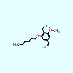 [CH]=Cc1[c]c(OCCCCCC)c(CC)c(OC)c1